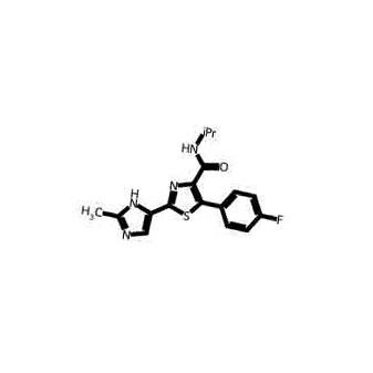 Cc1ncc(-c2nc(C(=O)NC(C)C)c(-c3ccc(F)cc3)s2)[nH]1